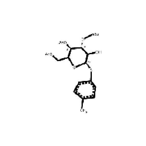 CCCCO[C@@H]1C(O)[C@@H](Sc2ccc(C)cc2)OC(COC(C)=O)[C@H]1OC(C)=O